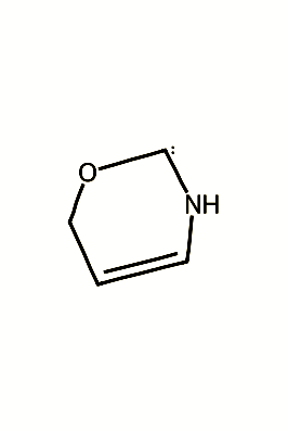 [C]1NC=CCO1